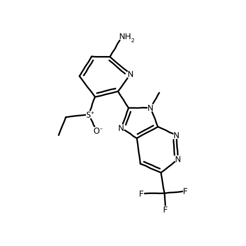 CC[S+]([O-])c1ccc(N)nc1-c1nc2cc(C(F)(F)F)nnc2n1C